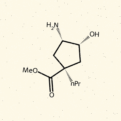 CCC[C@@]1(C(=O)OC)C[C@@H](O)[C@@H](N)C1